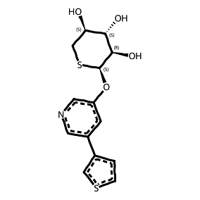 O[C@@H]1[C@@H](O)[C@@H](Oc2cncc(-c3ccsc3)c2)SC[C@H]1O